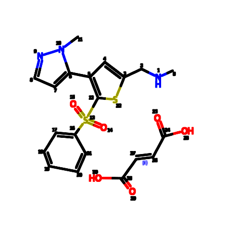 CNCc1cc(-c2ccnn2C)c(S(=O)(=O)c2ccccc2)s1.O=C(O)/C=C/C(=O)O